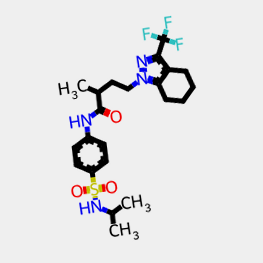 CC(C)NS(=O)(=O)c1ccc(NC(=O)C(C)CCn2nc(C(F)(F)F)c3c2CCCC3)cc1